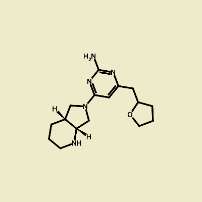 Nc1nc(CC2CCCO2)cc(N2C[C@H]3CCCN[C@H]3C2)n1